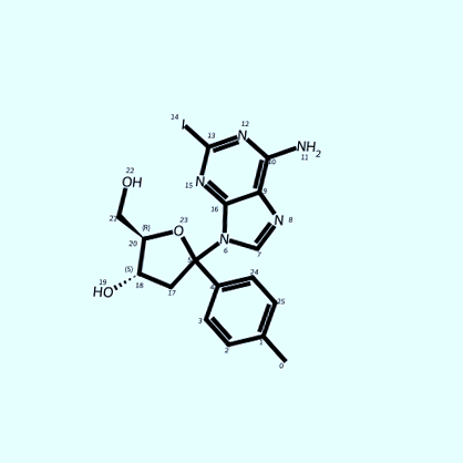 Cc1ccc(C2(n3cnc4c(N)nc(I)nc43)C[C@H](O)[C@@H](CO)O2)cc1